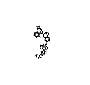 Cn1cnc(S(=O)(=O)NCc2ccc3c(c2)[C@H](Cc2ccccc2)[C@H](NCC2CCC2)CO3)c1